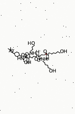 CC(C)(C)OCC1CCC(C(=O)N[C@H](CO)C(=O)NC(CCC(=O)NC(CCC(=O)NCCCCCCO)C(=O)NCCCCCCO)C(=O)NCCCCO)CC1